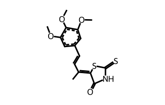 COc1cc(/C=C/C(C)=C2SC(=S)NC2=O)cc(OC)c1OC